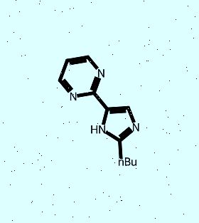 CCCCc1ncc(-c2ncccn2)[nH]1